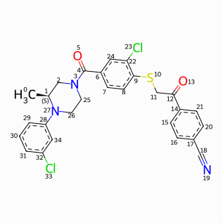 C[C@H]1CN(C(=O)c2ccc(SCC(=O)c3ccc(C#N)cc3)c(Cl)c2)CCN1c1cccc(Cl)c1